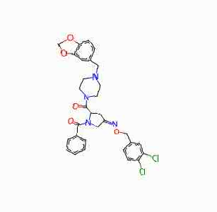 O=C(C1CC(=NOCc2ccc(Cl)c(Cl)c2)CN1C(=O)c1ccccc1)N1CCN(Cc2ccc3c(c2)OCO3)CC1